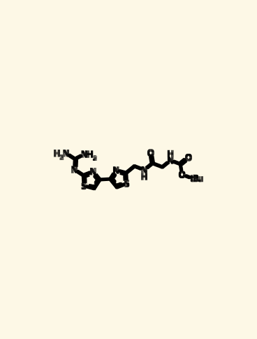 CC(C)(C)OC(=O)NCC(=O)NCc1nc(-c2csc(N=C(N)N)n2)cs1